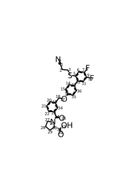 N#CCCSc1cc(F)c(F)cc1-c1ccc(OCc2cccc(C(=O)N3CCC[C@H]3C(=O)O)c2)cc1